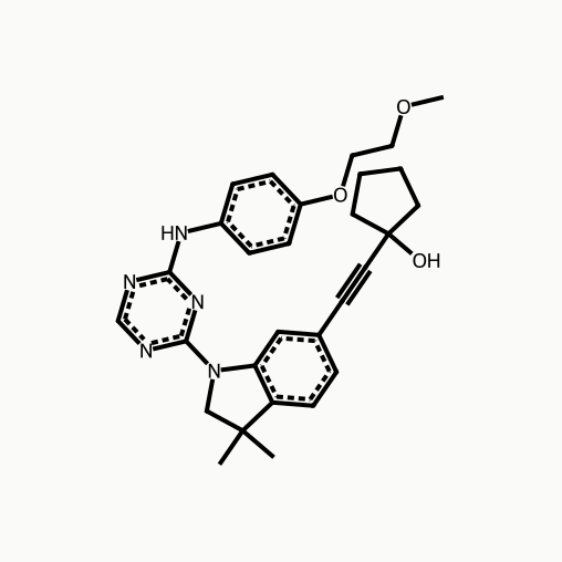 COCCOc1ccc(Nc2ncnc(N3CC(C)(C)c4ccc(C#CC5(O)CCCC5)cc43)n2)cc1